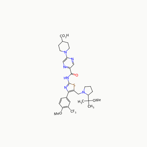 COc1ccc(-c2nc(NC(=O)c3cnc(N4CCC(C(=O)O)CC4)cn3)sc2CN2CCCC2C(C)(C)OC)cc1C(F)(F)F